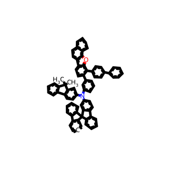 CC1(C)c2ccccc2-c2ccc(N(c3cccc(-c4ccc5c(oc6c7ccccc7ccc56)c4-c4ccc(-c5ccccc5)cc4)c3)c3ccc4c(c3)C3(c5ccccc5-c5ccccc53)c3ccccc3-4)cc21